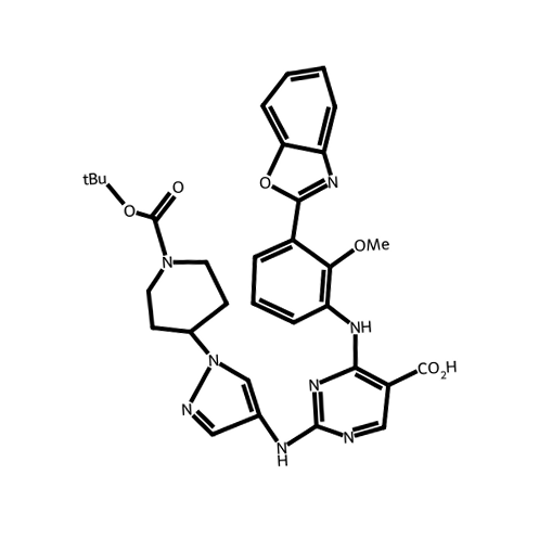 COc1c(Nc2nc(Nc3cnn(C4CCN(C(=O)OC(C)(C)C)CC4)c3)ncc2C(=O)O)cccc1-c1nc2ccccc2o1